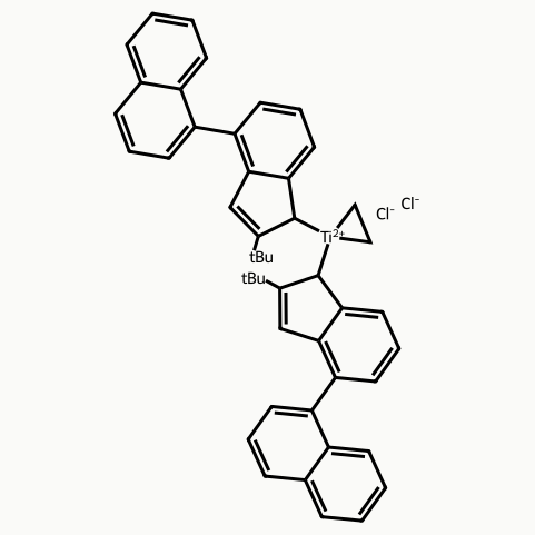 CC(C)(C)C1=Cc2c(-c3cccc4ccccc34)cccc2[CH]1[Ti+2]1([CH]2C(C(C)(C)C)=Cc3c(-c4cccc5ccccc45)cccc32)[CH2][CH2]1.[Cl-].[Cl-]